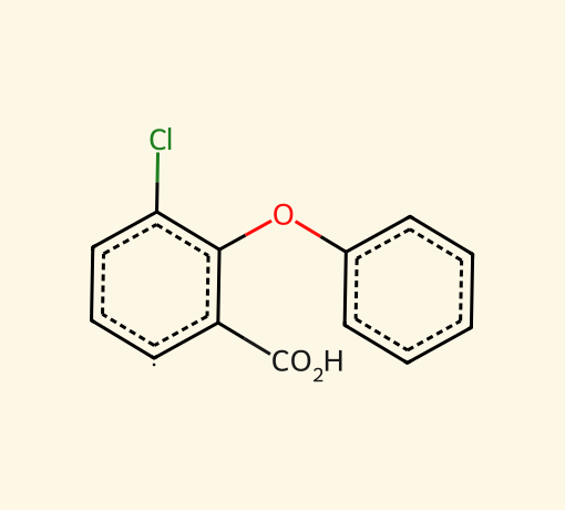 O=C(O)c1[c]ccc(Cl)c1Oc1ccccc1